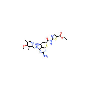 CCOC(=O)c1cnc(NC(=O)C2CC3NN(Cc4ncc(C)c(OC)c4C)c4nc(N)nc(c43)S2)s1